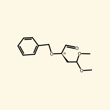 COC(C[C@H](C=O)OCc1ccccc1)OC